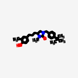 Cc1cc(CCCC2CN(Cc3ccc(C(C)(C)C)cc3)C(=O)N2C)ccc1O